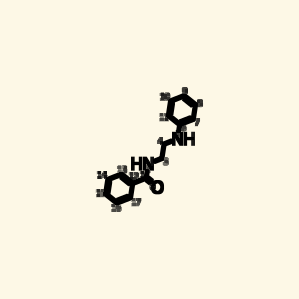 O=C(NCCNc1ccccc1)c1ccccc1